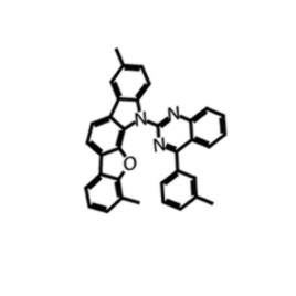 Cc1cccc(-c2nc(-n3c4ccc(C)cc4c4ccc5c6cccc(C)c6oc5c43)nc3ccccc23)c1